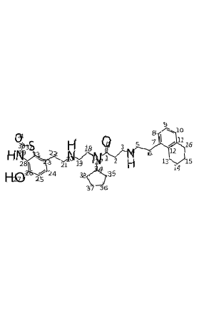 O=C(CCNCCc1cccc2c1CCCC2)N(CCNCCc1ccc(O)c2[nH]c(=O)sc12)C1CCCC1